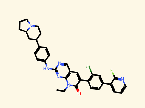 CCn1c(=O)c(-c2ccc(-c3cccnc3F)cc2Cl)cc2cnc(Nc3ccc(C4CCN5CCCC5C4)cc3)nc21